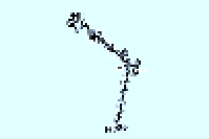 CN[C@@H](CCCCNC(=O)COCCOCCNC(=O)CC[C@H](NC(=O)CCCCCCCCCCCCCC(=O)O)C(=O)O)C(C)=O